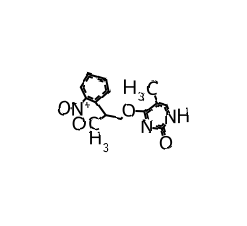 Cc1c[nH]c(=O)nc1OCC(C)c1ccccc1[N+](=O)[O-]